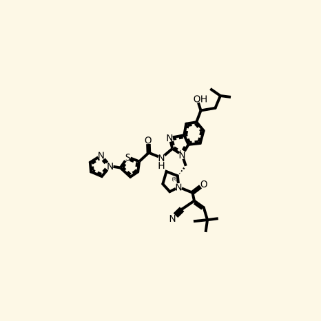 CC(C)CC(O)c1ccc2c(c1)nc(NC(=O)c1ccc(-n3cccn3)s1)n2C[C@H]1CCCN1C(=O)C(C#N)=CC(C)(C)C